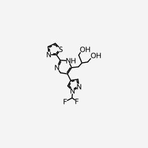 OCC(CO)CC1=C(c2cnn(C(F)F)c2)CN=C(c2nccs2)N1